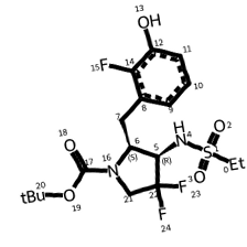 CCS(=O)(=O)N[C@@H]1[C@H](Cc2cccc(O)c2F)N(C(=O)OC(C)(C)C)CC1(F)F